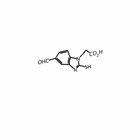 O=Cc1ccc2c(c1)nc(S)n2CC(=O)O